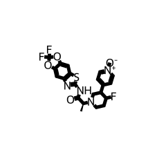 C[C@@H](C(=O)Nc1nc2cc3c(cc2s1)OC(F)(F)O3)N1CCC(F)C(c2cc[n+]([O-])cc2)C1